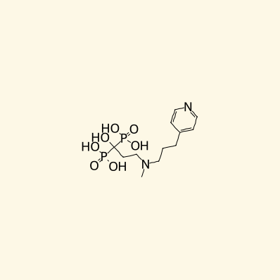 CN(CCCc1ccncc1)CCC(O)(P(=O)(O)O)P(=O)(O)O